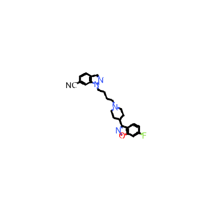 N#Cc1ccc2cnn(CCCCN3CCC(c4noc5cc(F)ccc45)CC3)c2c1